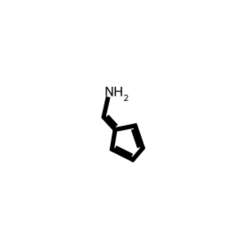 NC=C1C=CC=C1